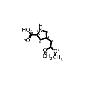 COC(CC1CNC(C(=O)O)C1)OC